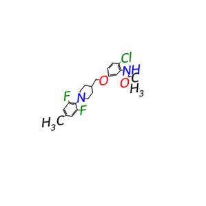 CC(=O)Nc1cc(OCC2CCN(c3c(F)cc(C)cc3F)CC2)ccc1Cl